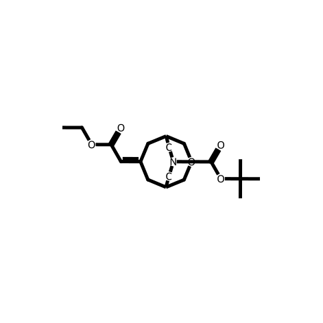 CCOC(=O)C=C1CC2COCC(C1)CN(C(=O)OC(C)(C)C)C2